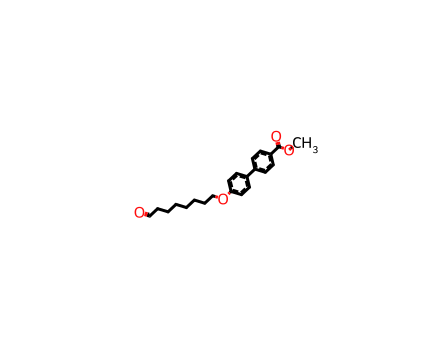 COC(=O)c1ccc(-c2ccc(OCCCCCCCC=O)cc2)cc1